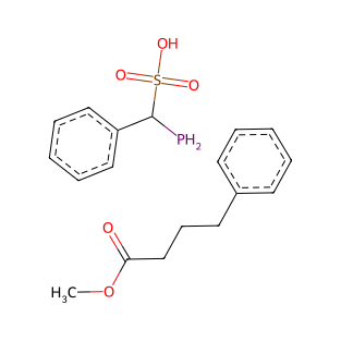 COC(=O)CCCc1ccccc1.O=S(=O)(O)C(P)c1ccccc1